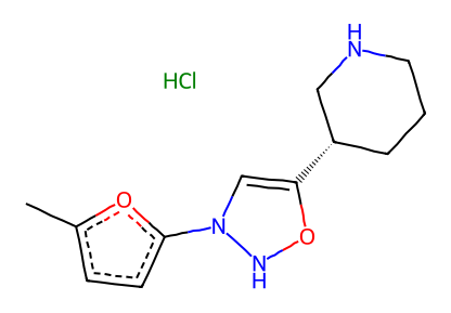 Cc1ccc(N2C=C([C@H]3CCCNC3)ON2)o1.Cl